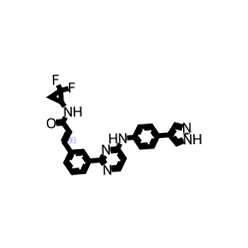 O=C(/C=C/c1cccc(-c2nccc(Nc3ccc(-c4cn[nH]c4)cc3)n2)c1)NC1CC1(F)F